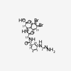 NN=CNc1cccc(C(=O)NCC(=O)NC(CC(=O)O)c2ccc(Br)c(Br)c2)c1